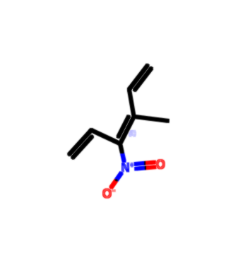 C=C/C(C)=C(\C=C)[N+](=O)[O-]